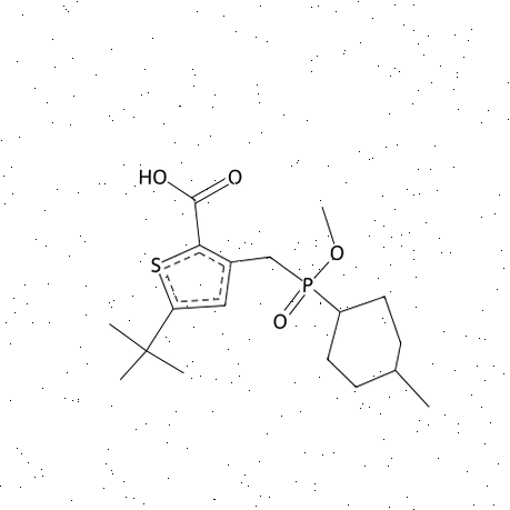 COP(=O)(Cc1cc(C(C)(C)C)sc1C(=O)O)C1CCC(C)CC1